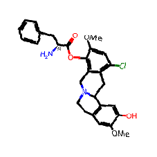 COc1cc2c(cc1O)C1Cc3c(Cl)cc(OC)c(OC(=O)[C@@H](N)Cc4ccccc4)c3CN1CC2